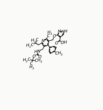 Cc1ccc(-c2c(COc3n[nH]cc3C(=O)O)c(C)nc(CC(C)C)c2CNC(=O)OC(C)(C)C)cc1